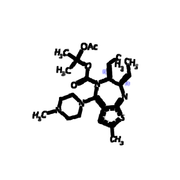 C/C=C1/N=c2sc(C)cc2=C(N2CCN(C)CC2)N(C(=O)OC(C)(C)OC(C)=O)/C1=C/C